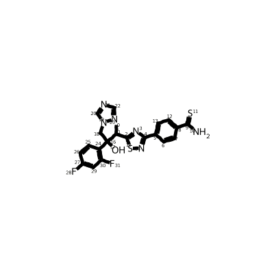 CC(c1nc(-c2ccc(C(N)=S)cc2)ns1)C(O)(Cn1cncn1)c1ccc(F)cc1F